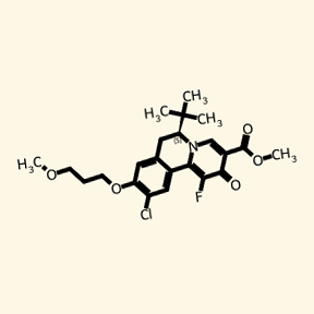 COCCCOc1cc2c(cc1Cl)-c1c(F)c(=O)c(C(=O)OC)cn1[C@H](C(C)(C)C)C2